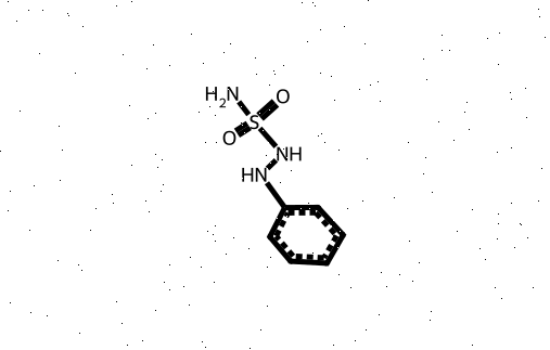 NS(=O)(=O)NNc1ccccc1